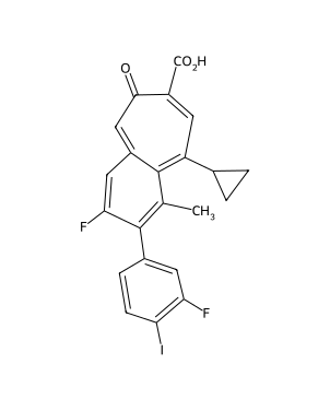 Cc1c(-c2ccc(I)c(F)c2)c(F)cc2cc(=O)c(C(=O)O)cc(C3CC3)c12